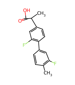 Cc1ccc(-c2ccc(C(C)C(=O)O)cc2F)cc1F